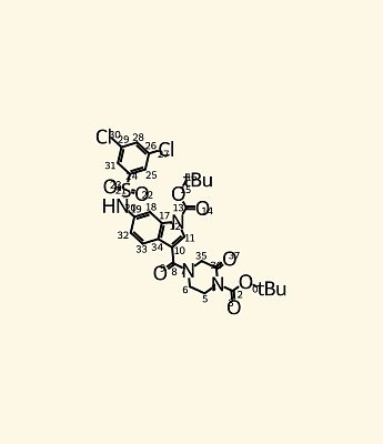 CC(C)(C)OC(=O)N1CCN(C(=O)c2cn(C(=O)OC(C)(C)C)c3cc(NS(=O)(=O)c4cc(Cl)cc(Cl)c4)ccc23)CC1=O